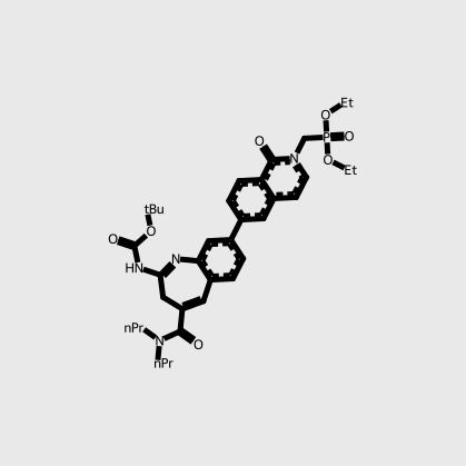 CCCN(CCC)C(=O)C1=Cc2ccc(-c3ccc4c(=O)n(CP(=O)(OCC)OCC)ccc4c3)cc2N=C(NC(=O)OC(C)(C)C)C1